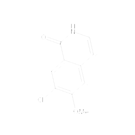 COc1cc2cc[nH]c(=O)c2cc1Cl